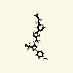 CC[C@H]1CC[C@H](n2cc(NC(=O)c3coc(-c4ccnc(NCC5CC5)c4)n3)c(C(F)(F)F)n2)CC1